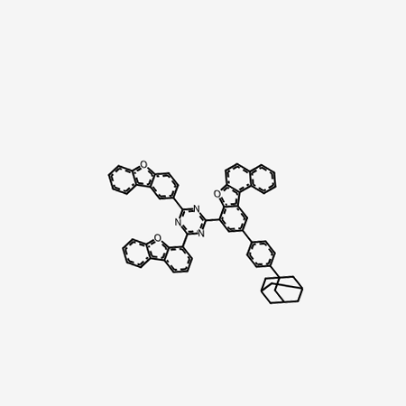 c1ccc2c(c1)ccc1oc3c(-c4nc(-c5ccc6oc7ccccc7c6c5)nc(-c5cccc6c5oc5ccccc56)n4)cc(-c4ccc(C56CC7CC(CC(C7)C5)C6)cc4)cc3c12